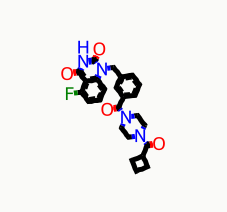 O=C(c1cccc(Cn2c(=O)[nH]c(=O)c3c(F)cccc32)c1)N1CCN(C(=O)C2CCC2)CC1